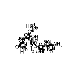 Nc1nc2c(nnn2[C@@H]2O[C@H](OC[PH](=O)O)[C@H](O)[C@@H]2OP(=O)(O)OC[C@H]2O[C@@H](n3cnc4c(N)ncnc43)[C@@H](F)[C@H]2O)c(=O)[nH]1